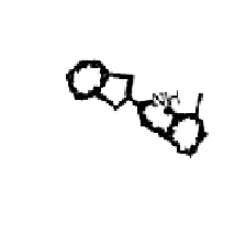 Cc1cccc2cc(C3=Cc4ccccc4C3)[nH]c12